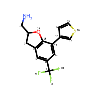 NCC1Cc2cc(C(F)(F)F)cc(-c3ccsc3)c2O1